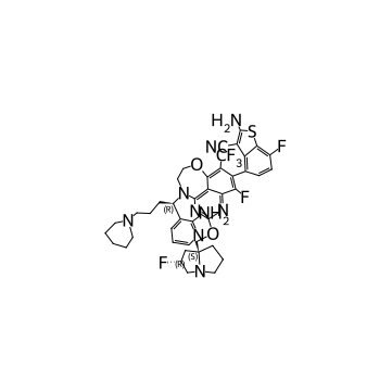 N#Cc1c(N)sc2c(F)ccc(-c3c(C(F)(F)F)c4c5c(nc(OC[C@@]67CCCN6C[C@H](F)C7)nc5c3F)N([C@H](CCCN3CCCCC3)c3cccnc3N)CCO4)c12